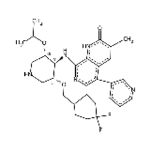 Cc1cc2c(-c3cccnc3)cnc(N[C@@H]3[C@@H](OC(C)C)CNC[C@H]3OCC3CCC(F)(F)CC3)c2[nH]c1=O